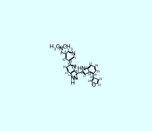 CN(C)Cc1cncc(-c2ccc3[nH]nc(-c4cc5c(-c6ccoc6)cccc5[nH]4)c3n2)c1